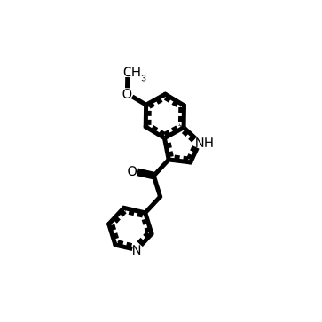 COc1ccc2[nH]cc(C(=O)Cc3cccnc3)c2c1